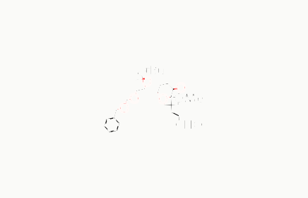 CO[C@@]1(C(C)(C)C=CC=O)O[C@H](C[C@@H](O[Si](C)(C)C(C)(C)C)[C@@H](C)OCOCc2ccccc2)CCC1=O